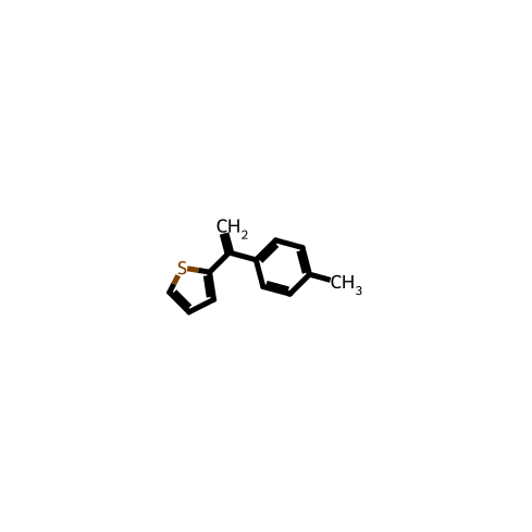 C=C(c1ccc(C)cc1)c1cccs1